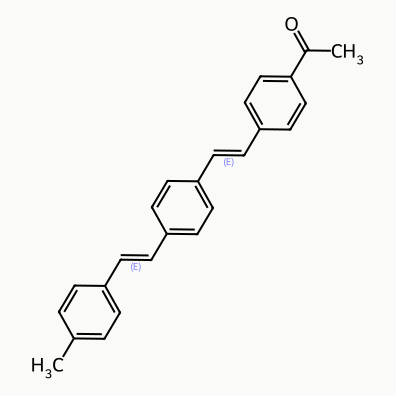 CC(=O)c1ccc(/C=C/c2ccc(/C=C/c3ccc(C)cc3)cc2)cc1